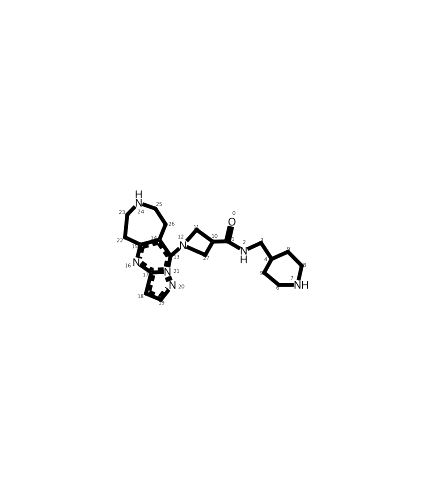 O=C(NCC1CCNCC1)C1CN(c2c3c(nc4ccnn24)CCNCC3)C1